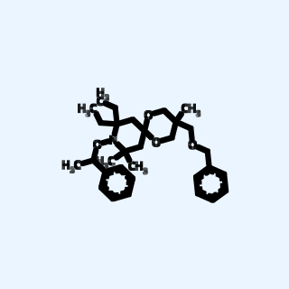 CCC1(CC)CC2(CC(C)(C)N1OC(C)c1ccccc1)OCC(C)(COCc1ccccc1)CO2